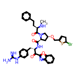 CN[C@H](CCc1ccccc1)C(=O)N1C[C@H](OCC2=CCC(Br)S2)C[C@H]1C(=O)N[C@@H](Cc1ccc(NC(=N)N)cc1)C(=O)c1nc2ccccc2o1